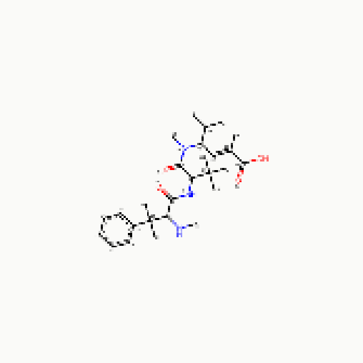 CNC(C(=O)NC(C(=O)N(C)C(C=C(C)C(=O)O)C(C)C)C(C)(C)C)C(C)(C)c1ccccc1